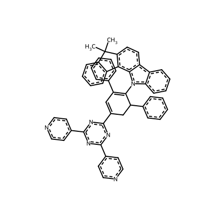 CC1(C)c2ccccc2-c2c1ccc1c3ccccc3n(C3=C(c4ccccc4)C=C(c4nc(-c5ccncc5)nc(-c5ccncc5)n4)CC3c3ccccc3)c21